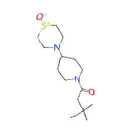 CC(C)(C)CC(=O)N1CCC(N2CC[S+]([O-])CC2)CC1